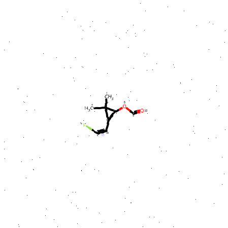 CC1(C)C(/C=C\F)C1OC=O